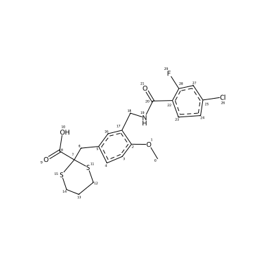 COc1ccc(CC2(C(=O)O)SCCCS2)cc1CNC(=O)c1ccc(Cl)cc1F